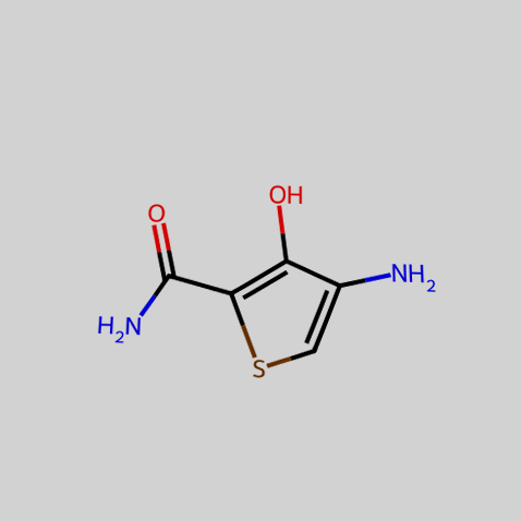 NC(=O)c1scc(N)c1O